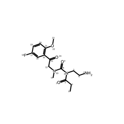 CCC(=O)N(CCN)C(=O)N(C)CC(=O)c1cc(F)ccc1OC